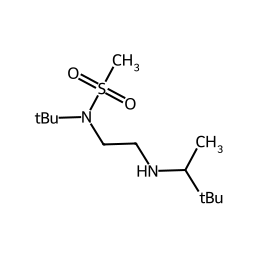 CC(NCCN(C(C)(C)C)S(C)(=O)=O)C(C)(C)C